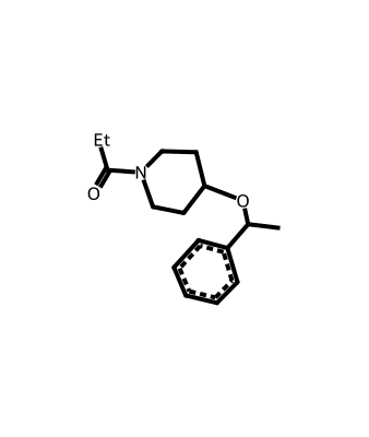 CCC(=O)N1CCC(OC(C)c2ccccc2)CC1